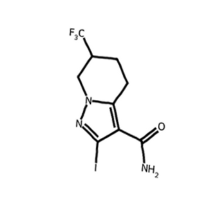 NC(=O)c1c(I)nn2c1CCC(C(F)(F)F)C2